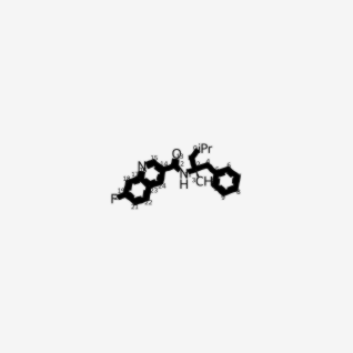 CC(C)C[C@@](C)(Cc1ccccc1)NC(=O)c1cnc2cc(F)ccc2c1